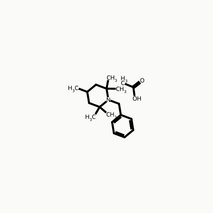 CC(=O)O.CC1CC(C)(C)N(Cc2ccccc2)C(C)(C)C1